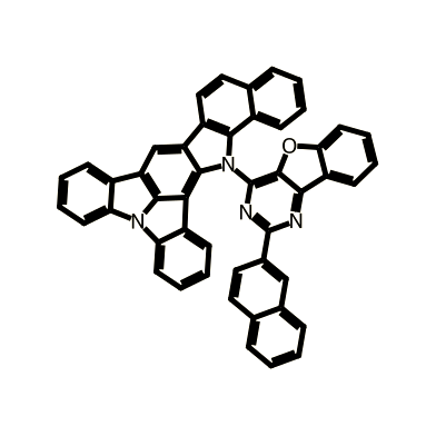 c1ccc2cc(-c3nc(-n4c5c6ccccc6ccc5c5cc6c7ccccc7n7c8ccccc8c(c54)c67)c4oc5ccccc5c4n3)ccc2c1